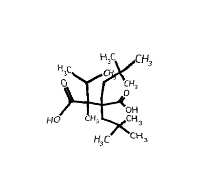 CC(C)C(C)(C(=O)O)C(CC(C)(C)C)(CC(C)(C)C)C(=O)O